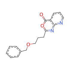 O=c1oc(CCCOCc2ccccc2)nc2ncccc12